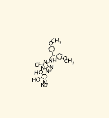 COc1ccc(C(CNc2nc(Cl)nc3c2ncn3[C@@H]2C[C@H](n3cccn3)[C@@H](O)[C@H]2O)c2ccc(OC)cc2)cc1